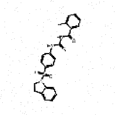 O=C(NC(=S)Nc1ccc(S(=O)(=O)N2CCc3ccccc32)cc1)c1ccccc1F